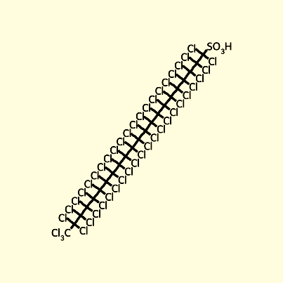 O=S(=O)(O)C(Cl)(Cl)C(Cl)(Cl)C(Cl)(Cl)C(Cl)(Cl)C(Cl)(Cl)C(Cl)(Cl)C(Cl)(Cl)C(Cl)(Cl)C(Cl)(Cl)C(Cl)(Cl)C(Cl)(Cl)C(Cl)(Cl)C(Cl)(Cl)C(Cl)(Cl)C(Cl)(Cl)C(Cl)(Cl)C(Cl)(Cl)C(Cl)(Cl)C(Cl)(Cl)C(Cl)(Cl)C(Cl)(Cl)C(Cl)(Cl)Cl